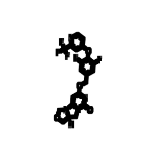 O=c1nc(OCc2cc(F)c(Oc3ccnc(C(F)(F)F)c3)c(F)c2)cc2n1C[C@H]1COCN21